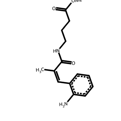 COC(=O)CCCNC(=O)C(C)=Cc1ccccc1N